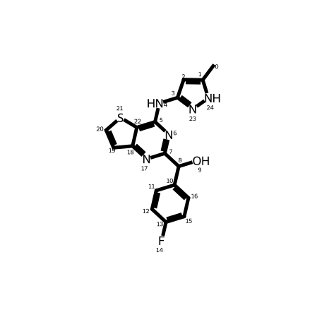 Cc1cc(Nc2nc(C(O)c3ccc(F)cc3)nc3ccsc23)n[nH]1